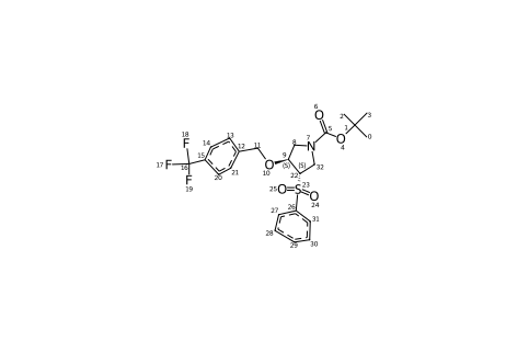 CC(C)(C)OC(=O)N1C[C@H](OCc2ccc(C(F)(F)F)cc2)[C@@H](S(=O)(=O)c2ccccc2)C1